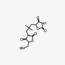 CC(C)(C)CC1SC(=O)N(CC(C)(C)CC2OC(=O)NC2=O)C1=O